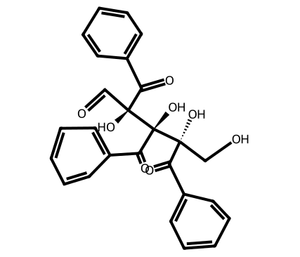 O=C[C@](O)(C(=O)c1ccccc1)[C@@](O)(C(=O)c1ccccc1)[C@@](O)(CO)C(=O)c1ccccc1